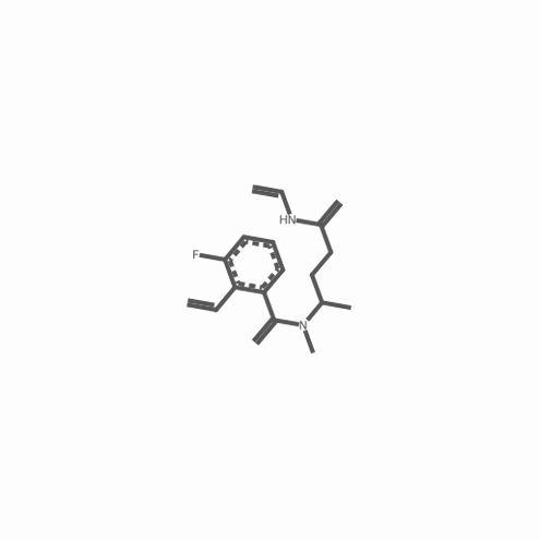 C=CNC(=C)CCC(C)N(C)C(=C)c1cccc(F)c1C=C